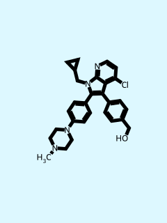 CN1CCN(c2ccc(-c3c(-c4ccc(CO)cc4)c4c(Cl)ccnc4n3CC3CC3)cc2)CC1